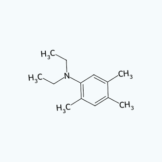 CCN(CC)c1cc(C)c(C)cc1C